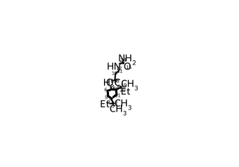 CCC(C)(C)c1ccc(OCCCNC(N)=O)c(C(C)(C)CC)c1